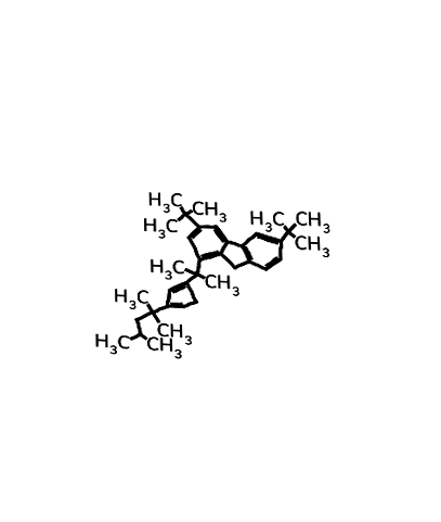 CC(C)CC(C)(C)C1=CCC(C(C)(C)c2cc(C(C)(C)C)cc3c2Cc2ccc(C(C)(C)C)cc2-3)=C1